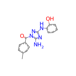 Cc1ccc(C(=O)n2nc(Nc3ccccc3O)nc2N)cc1